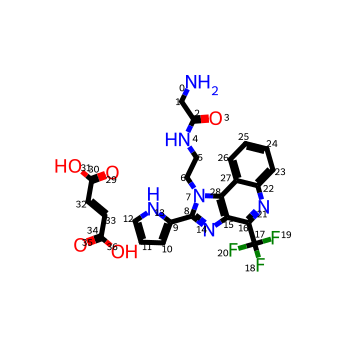 NCC(=O)NCCn1c(-c2ccc[nH]2)nc2c(C(F)(F)F)nc3ccccc3c21.O=C(O)C=CC(=O)O